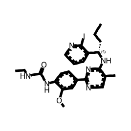 CCC[C@H](Nc1nc(-c2ccc(NC(=O)NCC)c(OC)c2)ncc1C)c1cccnc1I